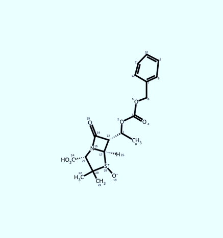 CC(OC(=O)OCc1ccccc1)[C@H]1C(=O)N2[C@@H]1[S+]([O-])C(C)(C)[C@@H]2C(=O)O